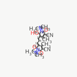 CC1=C(C#N)C(=O)N(N(C)C)C(=O)/C1=C/C=C/c1c(C)c(C#N)c(=O)n(N(C)C)c1O